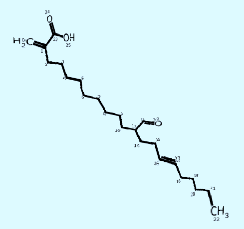 C=C(CCCCCCCCCC(C=O)CCC=CCCCCC)C(=O)O